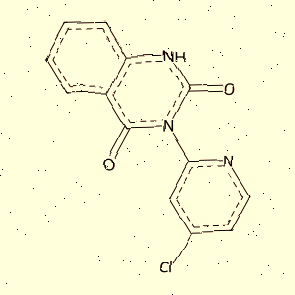 O=c1[nH]c2ccccc2c(=O)n1-c1cc(Cl)ccn1